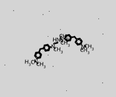 CN(C)c1ccc(Cc2ccc(N(C)CCN[N+](C)(C)c3ccc(Cc4ccc(N(C)C)cc4)cc3)cc2)cc1